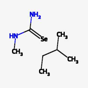 CCC(C)C.CNC(N)=[Se]